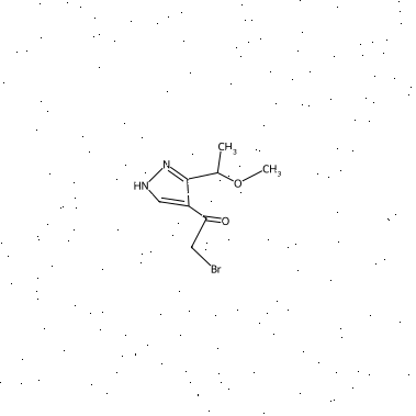 COC(C)c1n[nH]cc1C(=O)CBr